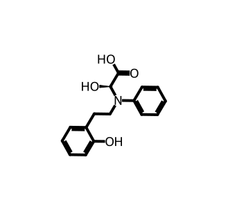 O=C(O)[C@H](O)N(CCc1ccccc1O)c1ccccc1